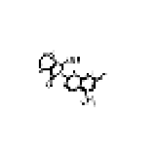 Cc1cc(Cl)nc2nc(N3C(=O)C4=C(SCCS4)C3O)ccc12